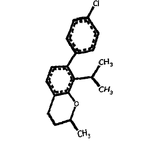 CC1CCc2ccc(-c3ccc(Cl)cc3)c(C(C)C)c2O1